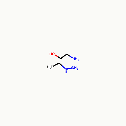 CCNN.NCCO